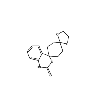 O=C1Nc2ccccc2C2(CCC3(CC2)OCCO3)O1